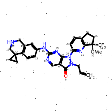 C=CCn1c(=O)c2cnc(Nc3ccc4c(c3)CNCC43CC3)nc2n1-c1ccc2c(n1)[C@@](OC)(C(F)(F)F)CC2